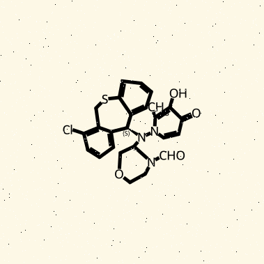 Cc1c(O)c(=O)ccn1N(C1COCCN1C=O)[C@@H]1c2ccccc2SCc2c(Cl)cccc21